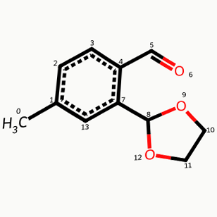 Cc1ccc(C=O)c(C2OCCO2)c1